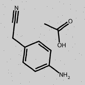 CC(=O)O.N#CCc1ccc(N)cc1